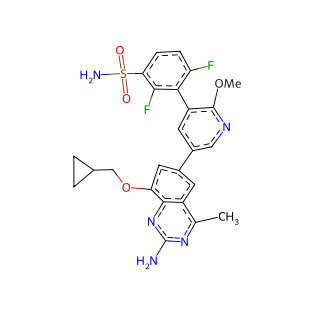 COc1ncc(-c2cc(OCC3CC3)c3nc(N)nc(C)c3c2)cc1-c1c(F)ccc(S(N)(=O)=O)c1F